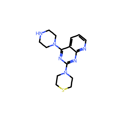 c1cnc2nc(N3CCSCC3)nc(N3CCNCC3)c2c1